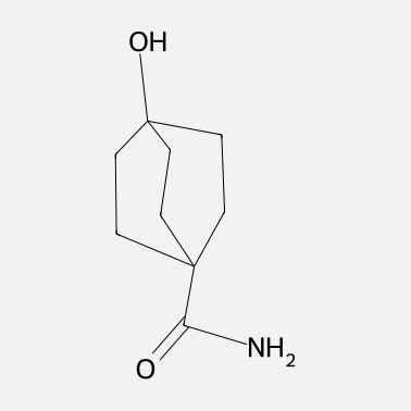 NC(=O)C12CCC(O)(CC1)CC2